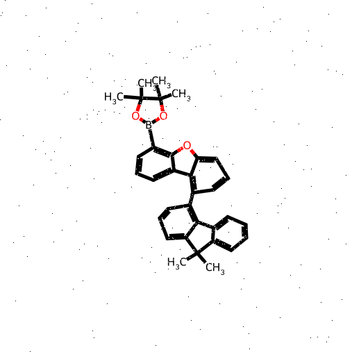 CC1(C)c2ccccc2-c2c(-c3cccc4oc5c(B6OC(C)(C)C(C)(C)O6)cccc5c34)cccc21